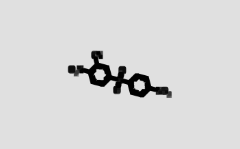 N#Cc1cc(S(=O)(=O)c2ccc([N+](=O)[O-])cc2)ccc1[N+](=O)[O-]